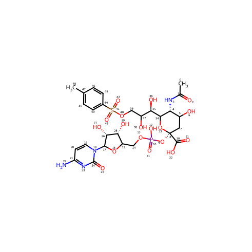 CC(=O)N[C@@H]1C(O)C[C@@](OP(=O)(O)OCC2OC(n3ccc(N)nc3=O)[C@H](O)[C@@H]2O)(C(=O)O)OC1[C@H](O)C(O)COS(=O)(=O)c1ccc(C)cc1